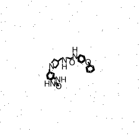 O=C(CNCC1CCN(Cc2ccc3[nH]c(=O)[nH]c3c2)CC1)Nc1ccc(Oc2ccccc2)cc1